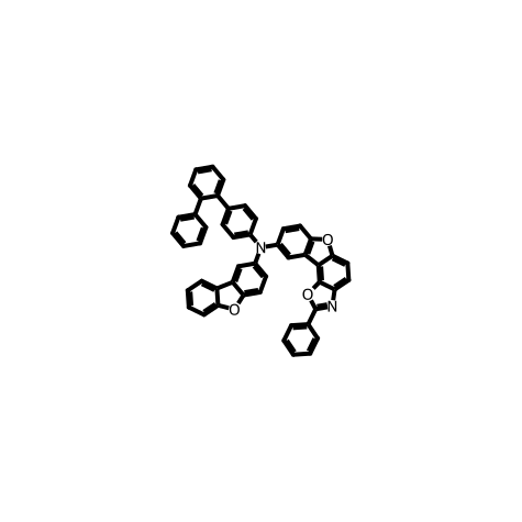 c1ccc(-c2nc3ccc4oc5ccc(N(c6ccc(-c7ccccc7-c7ccccc7)cc6)c6ccc7oc8ccccc8c7c6)cc5c4c3o2)cc1